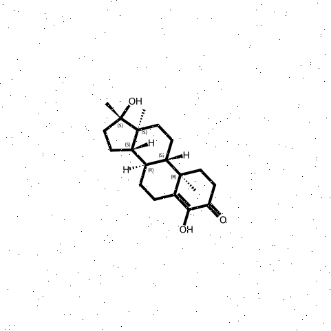 C[C@]12CCC(=O)C(O)=C1CC[C@@H]1[C@@H]2CC[C@@]2(C)[C@H]1CC[C@]2(C)O